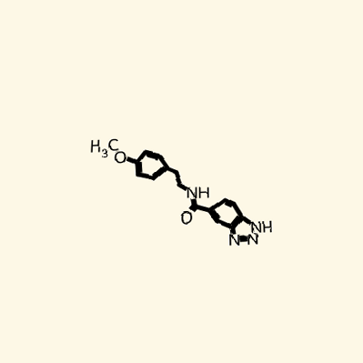 COc1ccc(CCNC(=O)c2ccc3[nH]nnc3c2)cc1